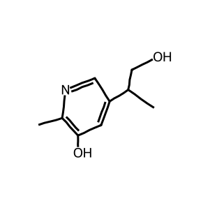 Cc1ncc(C(C)CO)cc1O